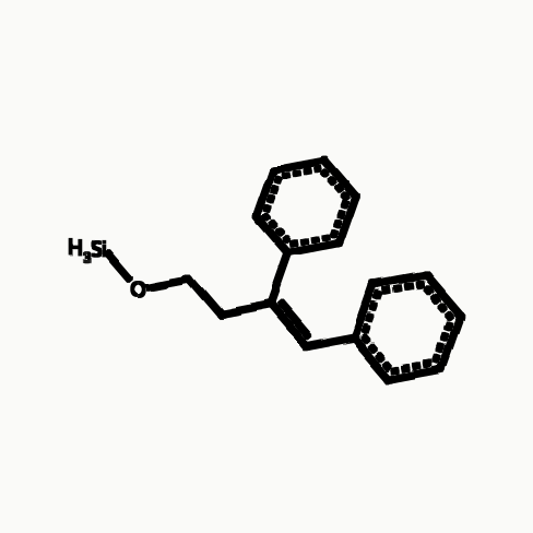 [SiH3]OCCC(=Cc1ccccc1)c1ccccc1